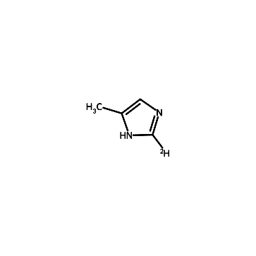 [2H]c1ncc(C)[nH]1